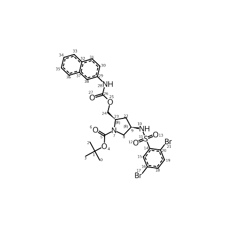 CC(C)(C)OC(=O)N1C[C@H](NS(=O)(=O)c2cc(Br)ccc2Br)C[C@@H]1COC(=O)Nc1ccc2ccccc2c1